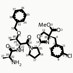 COC(=O)[C@@]1(Cc2cccc(Cl)c2)COC([C@@H]2CCCN2C(=O)[C@@H](NC(=O)[C@H](C)N)[C@@H](C)OCc2ccccc2)=N1